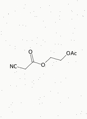 CC(=O)OCCOC(=O)CC#N